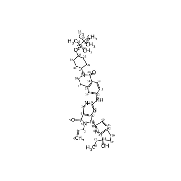 C=CCn1c(=O)c2cnc(Nc3ccc4c(c3)CCN(C3CCC(O[Si](C)(C)C(C)(C)C)CC3)C4=O)nc2n1-c1ccc2c(n1)[C@@](O)(CC)CC2